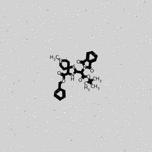 CN1CCC2(CC1)SC(C(C(=O)OC(C)(C)C)N1C(=O)c3ccccc3C1=O)NC2C(=O)OCc1ccccc1